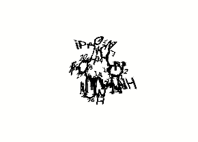 CC(C)C(=O)Nc1cncc(-c2cc3c(-c4cc5c(-c6cccc(F)c6)nccc5[nH]4)n[nH]c3cn2)c1